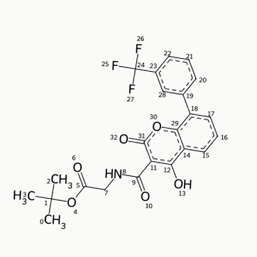 CC(C)(C)OC(=O)CNC(=O)c1c(O)c2cccc(-c3cccc(C(F)(F)F)c3)c2oc1=O